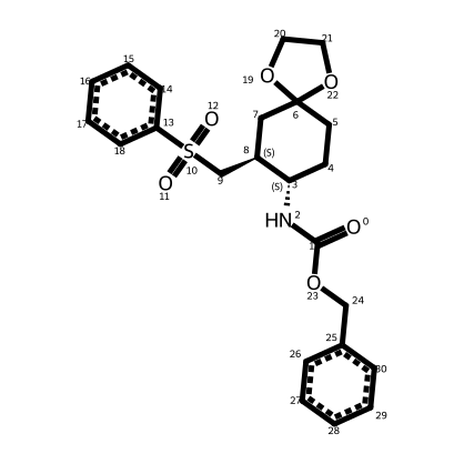 O=C(N[C@H]1CCC2(C[C@@H]1CS(=O)(=O)c1ccccc1)OCCO2)OCc1ccccc1